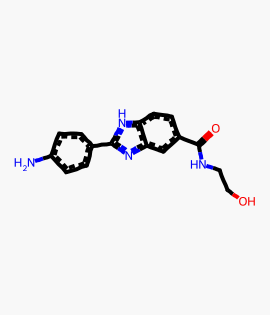 Nc1ccc(-c2nc3cc(C(=O)NCCO)ccc3[nH]2)cc1